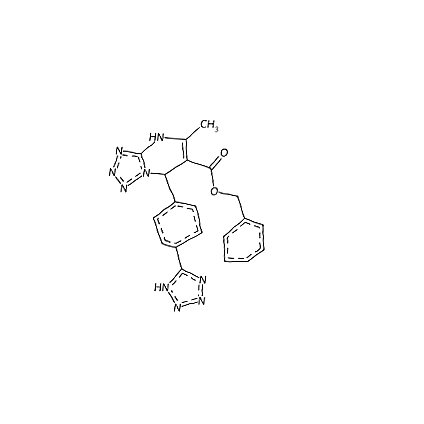 CC1=C(C(=O)OCc2ccccc2)C(c2ccc(-c3nnn[nH]3)cc2)n2nnnc2N1